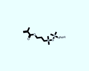 C=C(C)C(=O)OCCC[Si](C)(C)O[Si](C)(C)CCCCC